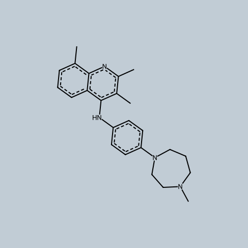 Cc1nc2c(C)cccc2c(Nc2ccc(N3CCCN(C)CC3)cc2)c1C